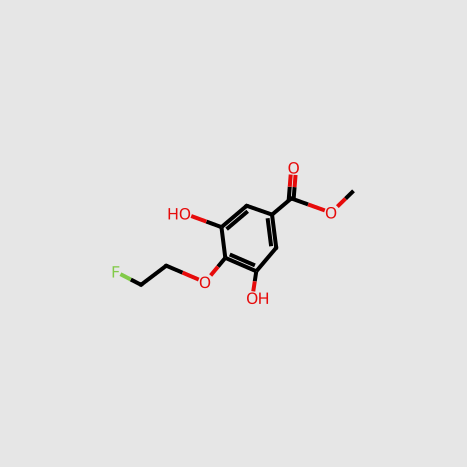 COC(=O)c1cc(O)c(OCCF)c(O)c1